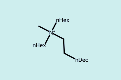 CCCCCCCCCCCC[N+](C)(CCCCCC)CCCCCC